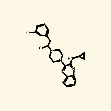 Clc1cccc(CC(Cl)N2CCN(c3nc4ccccc4nc3NC3CC3)CC2)c1